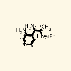 CCCNC(C)C(N)c1ccncc1N